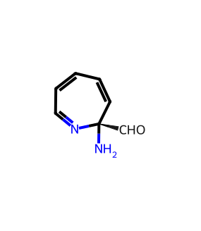 N[C@@]1(C=O)C=CC=CC=N1